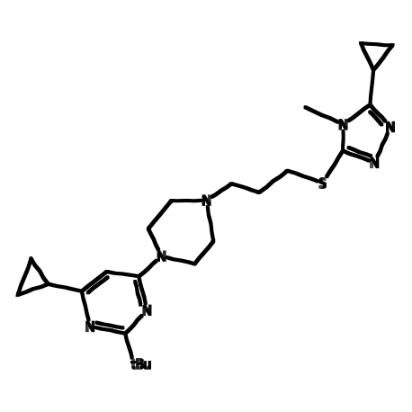 Cn1c(SCCCN2CCN(c3cc(C4CC4)nc(C(C)(C)C)n3)CC2)nnc1C1CC1